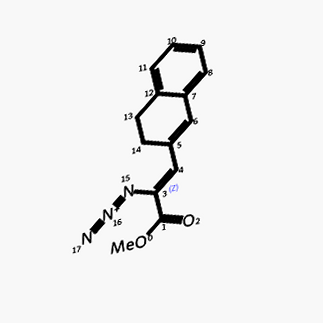 COC(=O)/C(=C/C1=Cc2ccccc2CC1)N=[N+]=[N-]